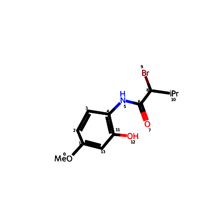 COc1ccc(NC(=O)C(Br)C(C)C)c(O)c1